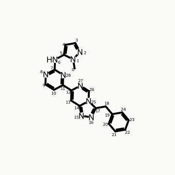 Cn1nccc1Nc1nccc(-c2cc3nnc(Cc4ccccc4)n3cn2)n1